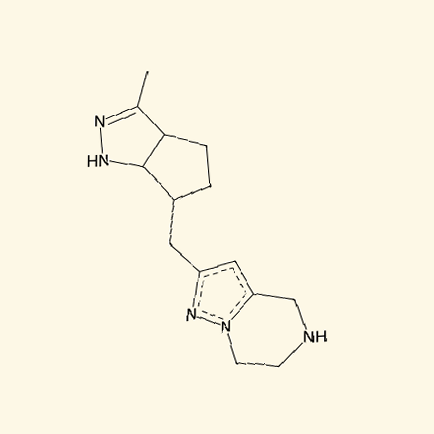 CC1=NNC2C(Cc3cc4n(n3)CCNC4)CCC12